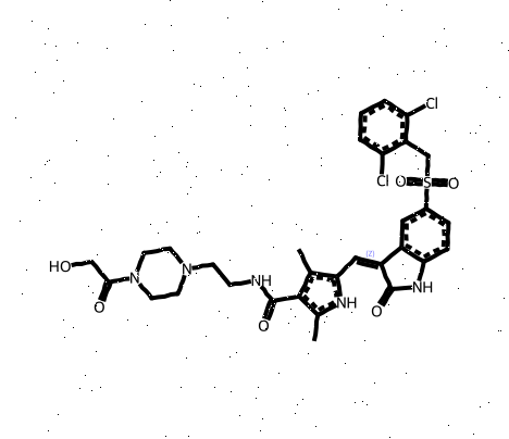 Cc1[nH]c(/C=C2\C(=O)Nc3ccc(S(=O)(=O)Cc4c(Cl)cccc4Cl)cc32)c(C)c1C(=O)NCCN1CCN(C(=O)CO)CC1